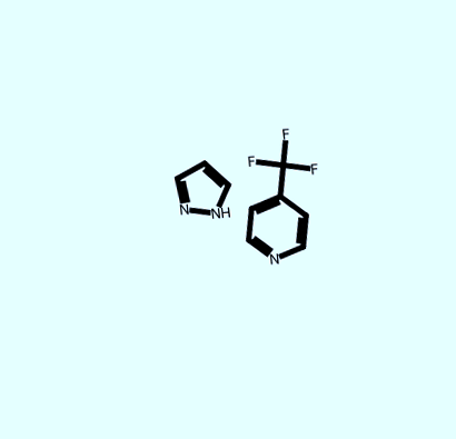 FC(F)(F)c1ccncc1.c1cn[nH]c1